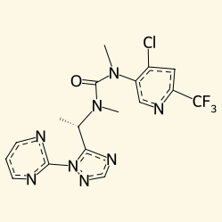 C[C@@H](c1ncnn1-c1ncccn1)N(C)C(=O)N(C)c1cnc(C(F)(F)F)cc1Cl